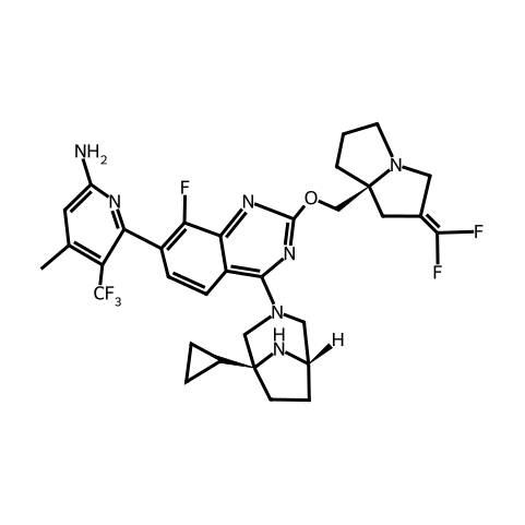 Cc1cc(N)nc(-c2ccc3c(N4C[C@@H]5CC[C@](C6CC6)(C4)N5)nc(OC[C@@]45CCCN4CC(=C(F)F)C5)nc3c2F)c1C(F)(F)F